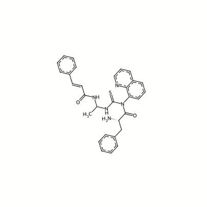 CC(NC(=O)/C=C/c1ccccc1)NC(=S)N(C(=O)[C@@H](N)Cc1ccccc1)c1cccc2cccnc12